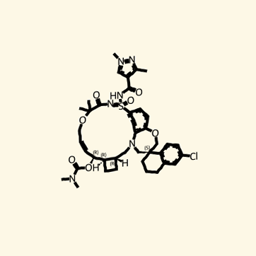 Cc1nn(C)cc1C(=O)NS1(=O)=NC(=O)C(C)(C)OCC=C[C@H](OC(=O)N(C)C)[C@@H]2CC[C@H]2CN2C[C@@]3(CCCc4cc(Cl)ccc43)COc3ccc1cc32